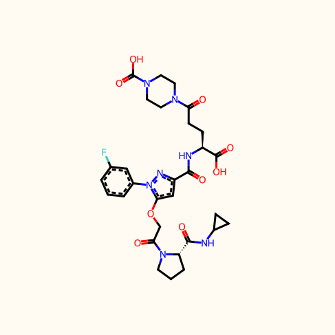 O=C(N[C@@H](CCC(=O)N1CCN(C(=O)O)CC1)C(=O)O)c1cc(OCC(=O)N2CCC[C@H]2C(=O)NC2CC2)n(-c2cccc(F)c2)n1